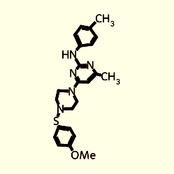 COc1ccc(SN2CCN(c3cc(C)nc(Nc4ccc(C)cc4)n3)CC2)cc1